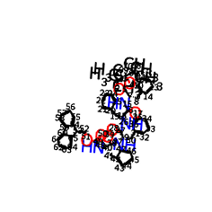 CC(C)[Si](OC(=O)[C@H](Cc1ccccc1)NC(=O)[C@H](Cc1ccccc1)NC(=O)[C@H](Cc1ccccc1)NC(=O)[C@H](Cc1ccccc1)NC(=O)OCC1c2ccccc2-c2ccccc21)(C(C)C)C(C)C